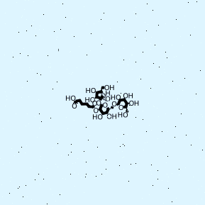 O=C(O)CCCCC(=O)O[C@H]1[C@@H](O[C@]2(CO)O[C@H](CO)[C@@H](O)[C@@H]2O)O[C@H](CO[C@H]2O[C@H](CO)[C@H](O)[C@H](O)[C@H]2O)[C@@H](O)[C@@H]1O